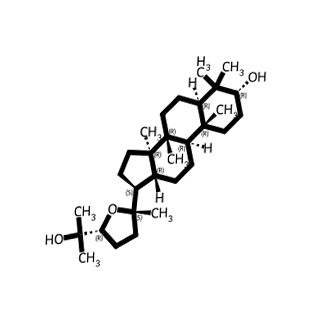 CC(C)(O)[C@H]1CC[C@@](C)([C@H]2CC[C@]3(C)[C@@H]2CC[C@@H]2[C@@]4(C)CC[C@@H](O)C(C)(C)[C@@H]4CC[C@]23C)O1